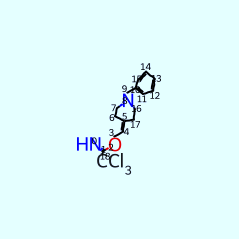 N=C(OCC=C1CCN(Cc2ccccc2)CC1)C(Cl)(Cl)Cl